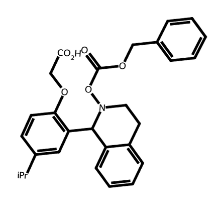 CC(C)c1ccc(OCC(=O)O)c(C2c3ccccc3CCN2OC(=O)OCc2ccccc2)c1